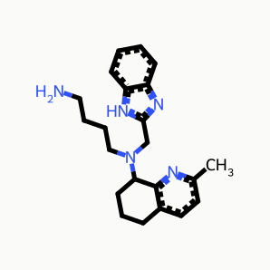 Cc1ccc2c(n1)C(N(CCCCN)Cc1nc3ccccc3[nH]1)CCC2